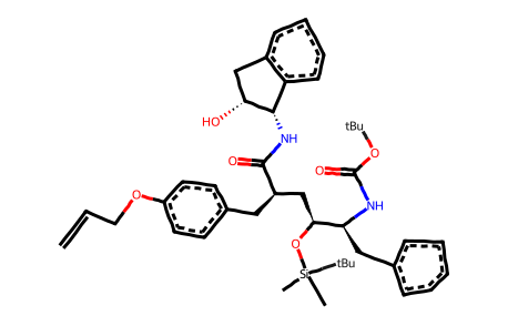 C=CCOc1ccc(C[C@H](C[C@H](O[Si](C)(C)C(C)(C)C)[C@H](Cc2ccccc2)NC(=O)OC(C)(C)C)C(=O)N[C@H]2c3ccccc3C[C@H]2O)cc1